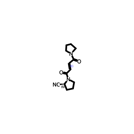 N#C[C@@H]1CCCN1C(=O)/C=C/C(=O)N1CCCC1